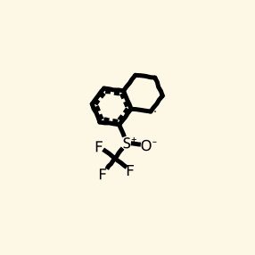 [O-][S+](c1cccc2c1[CH]CCC2)C(F)(F)F